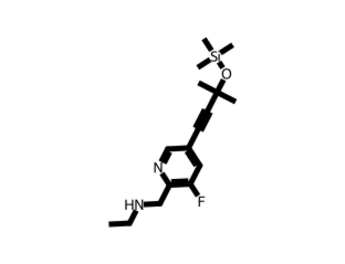 CCNCc1ncc(C#CC(C)(C)O[Si](C)(C)C)cc1F